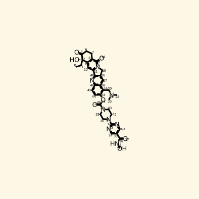 CC[C@@]1(O)C(=O)CCc2c1cc1n(c2=O)Cc2cc3c(CN(C)C)c(OC(=O)N4CCN(c5ncc(C(=O)NO)cn5)CC4)ccc3nc2-1